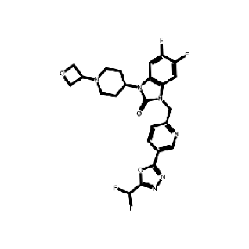 O=c1n(Cc2ccc(-c3nnc(C(F)F)o3)cn2)c2cc(F)c(F)cc2n1C1CCN(C2COC2)CC1